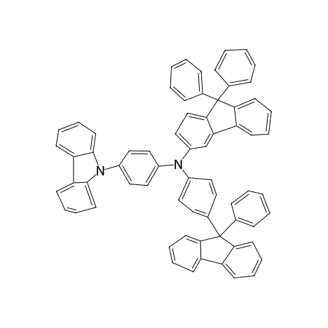 c1ccc(C2(c3ccc(N(c4ccc(-n5c6ccccc6c6ccccc65)cc4)c4ccc5c(c4)-c4ccccc4C5(c4ccccc4)c4ccccc4)cc3)c3ccccc3-c3ccccc32)cc1